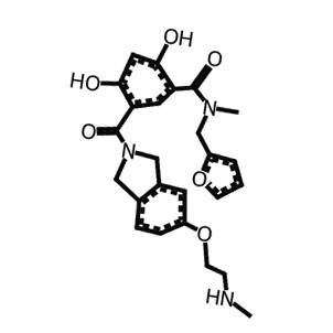 CNCCOc1ccc2c(c1)CN(C(=O)c1cc(C(=O)N(C)Cc3ccco3)c(O)cc1O)C2